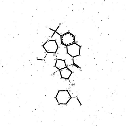 CO[C@@H]1COCC[C@@H]1N[C@@H]1C[C@H]2CN([C@H]3CCOC[C@H]3OC)C[C@@]2(C(=O)N2CCc3ccc(C(F)(F)F)cc3C2)C1